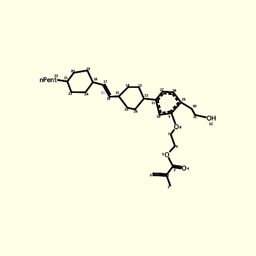 C=C(C)C(=O)OCCOc1cc(C2CCC(/C=C/C3CCC(CCCCC)CC3)CC2)ccc1CCO